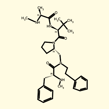 CN[C@@H](C)C(=O)N[C@H](C(=O)N1CCC[C@H]1CN(CCc1ccccc1)C(=O)[C@@H](Cc1ccccc1)NC)C(C)(C)C